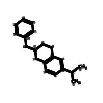 CC(C)c1ccc2c(c1)CCN(Cc1ccccc1)C2